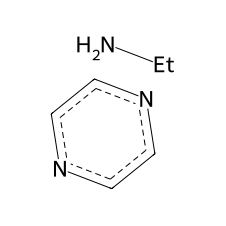 CCN.c1cnccn1